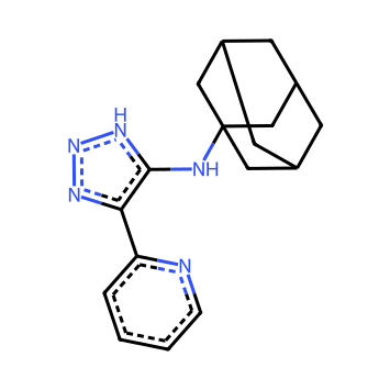 c1ccc(-c2nn[nH]c2NC23CC4CC(CC(C4)C2)C3)nc1